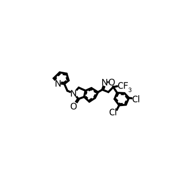 O=C1c2ccc(C3=NOC(c4cc(Cl)cc(Cl)c4)(C(F)(F)F)C3)cc2CN1Cc1ccccn1